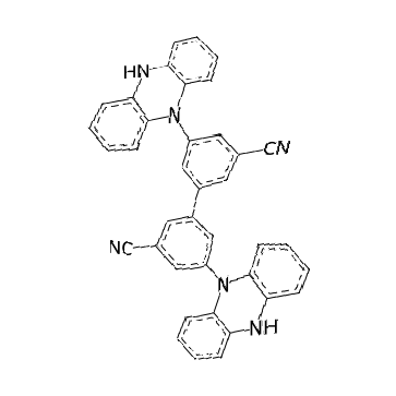 N#Cc1cc(-c2cc(C#N)cc(N3c4ccccc4Nc4ccccc43)c2)cc(N2c3ccccc3Nc3ccccc32)c1